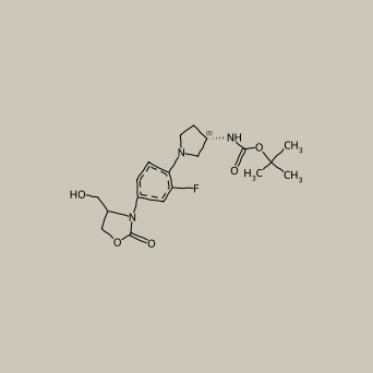 CC(C)(C)OC(=O)N[C@H]1CCN(c2ccc(N3C(=O)OCC3CO)cc2F)C1